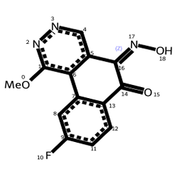 COc1nncc2c1-c1cc(F)ccc1C(=O)/C2=N\O